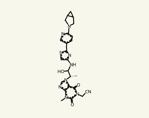 C[C@@H](C(O)Nc1csc(-c2ccc(N3CC4CC4C3)nc2)n1)n1cnc2c1c(=O)n(CC#N)c(=O)n2C